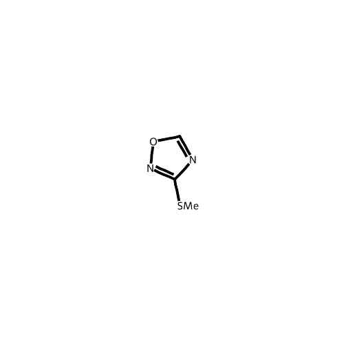 CSc1ncon1